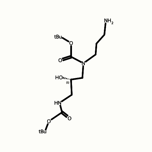 CC(C)(C)OC(=O)NC[C@H](O)CN(CCCN)C(=O)OC(C)(C)C